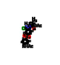 CC(=O)Nc1ccc(S(=O)(=O)c2ccc(NC(=O)C(C)(C)OC(C)=O)c(Cl)c2)cc1